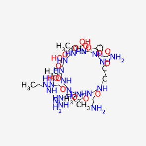 CCCCNC(=N)NCCC[C@@H]1NC(=O)[C@H]([C@@H](C)O)NC(=O)[C@H](CO)NC(=O)[C@H](CC(C)C)NC(=O)[C@H](CC(=O)O)NC(=O)[C@H](Cc2ccccc2)NC(=O)[C@H](CCC(N)=O)NC(=O)CCCCCCNC(=O)[C@H](CCCCN)NC(=O)[C@H](CC(C)C)NC(=O)[C@H](CCCNC(=N)N)NC1=O